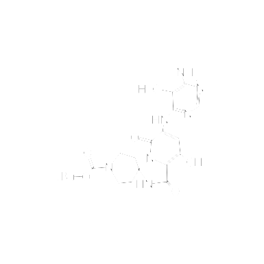 Cc1cc(Nc2ncnc(N)c2C)c(=O)n2c1C(=O)NC21CCN(C(=O)OC(C)(C)C)CC1